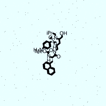 COC(=O)N[C@@H](Cc1cccc2ccccc12)C(=O)NCCCC(CO)N(CC(C)C)S(=O)(=O)c1ccc(N)cc1